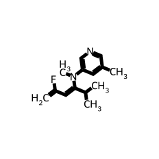 C=C(F)/C=C(/C(C)C)N(C)c1cncc(C)c1